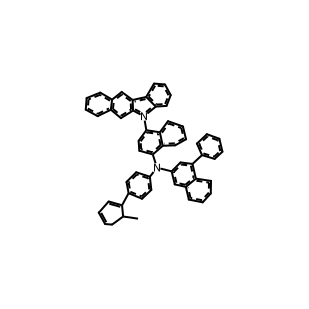 CC1CC=CC=C1c1ccc(N(c2cc(-c3ccccc3)c3ccccc3c2)c2ccc(-n3c4ccccc4c4cc5ccccc5cc43)c3ccccc23)cc1